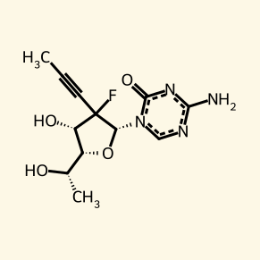 CC#CC1(F)[C@@H](O)[C@@H]([C@H](C)O)O[C@H]1n1cnc(N)nc1=O